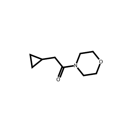 O=C(CC1CC1)N1CCOCC1